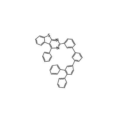 c1ccc(-c2ccc(-c3cccc(-c4cccc(-c5nc(-c6ccccc6)c6c(n5)sc5ccccc56)c4)c3)cc2-c2ccccc2)cc1